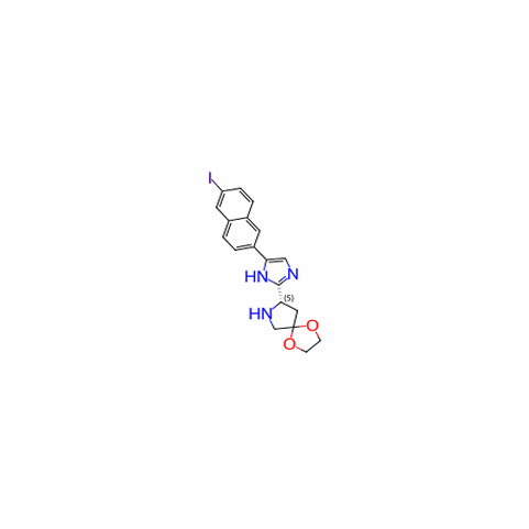 Ic1ccc2cc(-c3cnc([C@@H]4CC5(CN4)OCCO5)[nH]3)ccc2c1